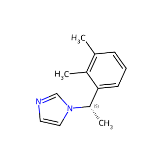 Cc1cccc([C@H](C)n2ccnc2)c1C